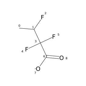 CC(F)C(F)(F)C([O])=O